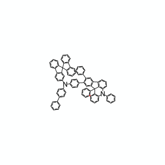 c1ccc(-c2ccc(N(c3ccc(-c4cc5c(cc4-c4ccccc4)-c4cccc6c4C5(c4ccccc4)c4ccccc4N6c4ccccc4)cc3)c3ccc4c(c3)C3(c5ccccc5-c5ccccc53)c3ccccc3-4)cc2)cc1